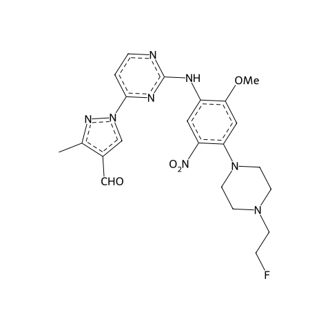 COc1cc(N2CCN(CCF)CC2)c([N+](=O)[O-])cc1Nc1nccc(-n2cc(C=O)c(C)n2)n1